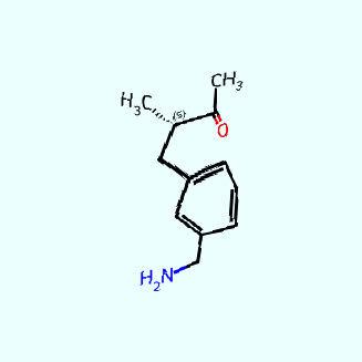 CC(=O)[C@@H](C)Cc1cccc(CN)c1